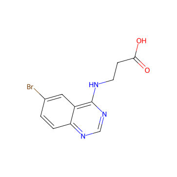 O=C(O)CCNc1ncnc2ccc(Br)cc12